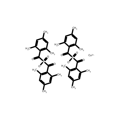 Cc1cc(C)c(C(=O)P(=O)([O-])C(=O)c2c(C)cc(C)cc2C)c(C)c1.Cc1cc(C)c(C(=O)P(=O)([O-])C(=O)c2c(C)cc(C)cc2C)c(C)c1.[Cu+2]